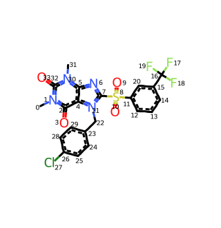 Cn1c(=O)c2c(nc(S(=O)(=O)c3cccc(C(F)(F)F)c3)n2Cc2ccc(Cl)cc2)n(C)c1=O